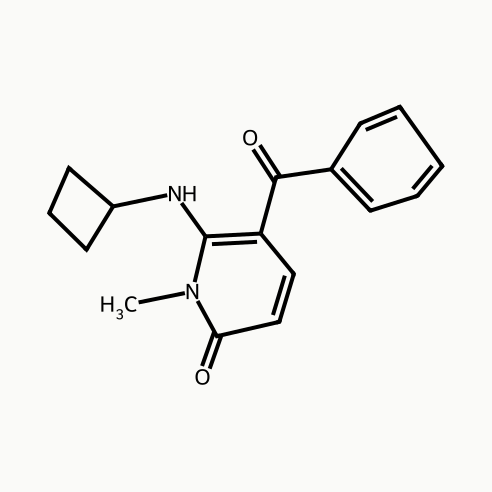 Cn1c(NC2CCC2)c(C(=O)c2ccccc2)ccc1=O